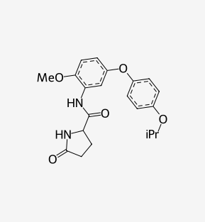 COc1ccc(Oc2ccc(OC(C)C)cc2)cc1NC(=O)C1CCC(=O)N1